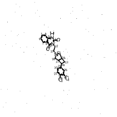 O=c1[nH]c2ccccc2c(=O)n1CCN1CC2CC(c3ccc(Cl)c(Cl)c3)C2C1